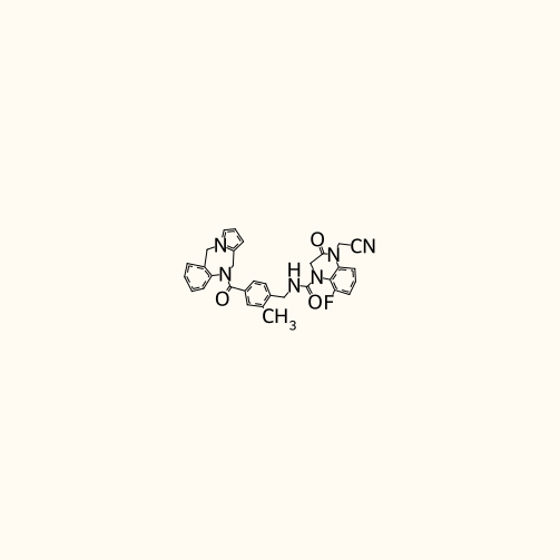 Cc1cc(C(=O)N2Cc3cccn3Cc3ccccc32)ccc1CNC(=O)N1CC(=O)N(CC#N)c2cccc(F)c21